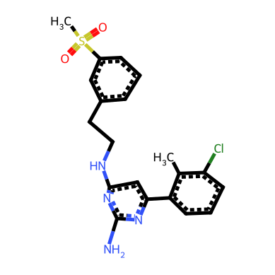 Cc1c(Cl)cccc1-c1cc(NCCc2cccc(S(C)(=O)=O)c2)nc(N)n1